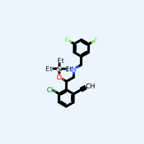 C#Cc1cccc(Cl)c1C(CNCc1cc(F)cc(F)c1)O[Si](CC)(CC)CC